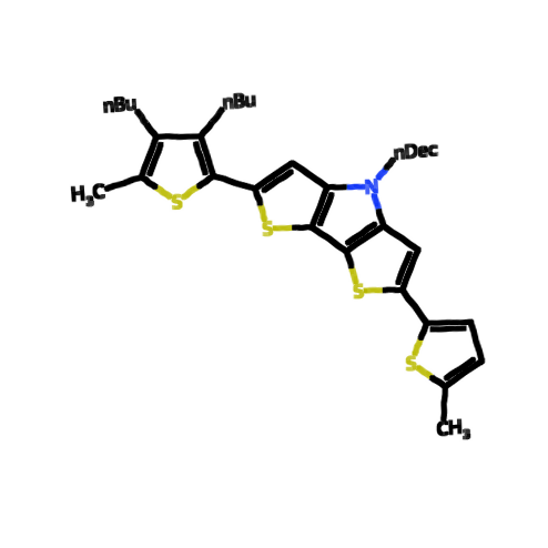 CCCCCCCCCCn1c2cc(-c3ccc(C)s3)sc2c2sc(-c3sc(C)c(CCCC)c3CCCC)cc21